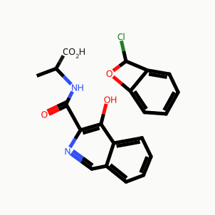 CC(NC(=O)c1ncc2ccccc2c1O)C(=O)O.ClC1Oc2ccccc21